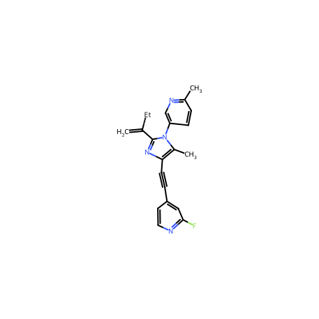 C=C(CC)c1nc(C#Cc2ccnc(F)c2)c(C)n1-c1ccc(C)nc1